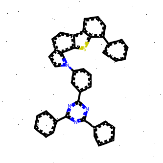 c1ccc(-c2nc(-c3ccccc3)nc(-c3cccc(-n4ccc5ccc6c7cccc(-c8ccccc8)c7sc6c54)c3)n2)cc1